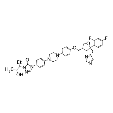 CCC([C@@H](C)O)n1ncn(-c2ccc(N3CCN(c4ccc(OC[C@H]5CO[C@](Cn6cncn6)(c6ccc(F)cc6F)C5)cc4)CC3)cc2)c1=O